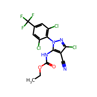 CCOC(=O)Nc1c(C#N)c(Cl)nn1-c1c(Cl)cc(C(F)(F)F)cc1Cl